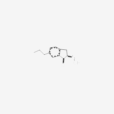 CCCc1ccc2c(c1)C(=O)/C(=N\O)C2